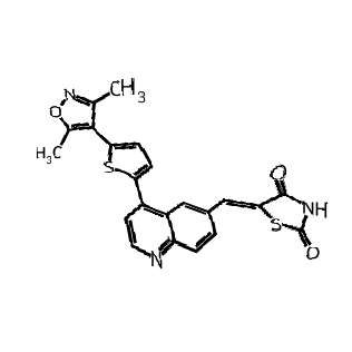 Cc1noc(C)c1-c1ccc(-c2ccnc3ccc(/C=C4\SC(=O)NC4=O)cc23)s1